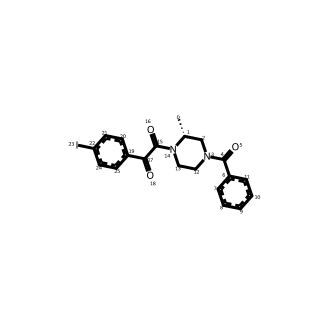 C[C@@H]1CN(C(=O)c2ccccc2)CCN1C(=O)C(=O)c1ccc(I)cc1